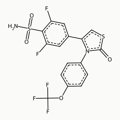 NS(=O)(=O)c1c(F)cc(-c2csc(=O)n2-c2ccc(OC(F)(F)F)cc2)cc1F